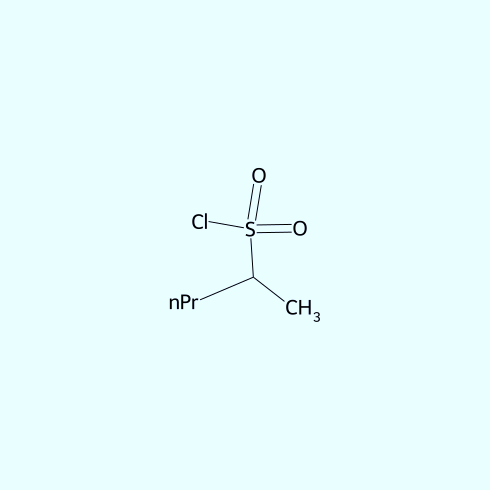 CCCC(C)S(=O)(=O)Cl